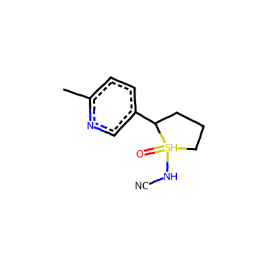 Cc1ccc(C2CCC[SH]2(=O)NC#N)cn1